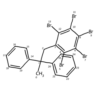 CC(Cc1c(Br)c(Br)c(Br)c(Br)c1Br)(c1ccccc1)c1ccccc1